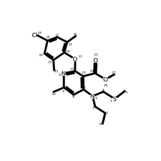 CCCN(CSC)c1cc(C)nc(Oc2c(C)cc(Cl)cc2C)c1C(=O)OC